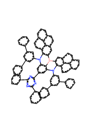 c1ccc(-c2cc(-c3ccccc3)cc(N3c4cc(-c5nc(-c6ccccc6)nc(-c6ccccc6)n5)cc5c4B(c4cc6ccc7cccc8ccc(c43)c6c78)c3cc4ccc6cccc7ccc(c3N5c3cc(-c5ccccc5)cc(-c5ccccc5)c3)c4c67)c2)cc1